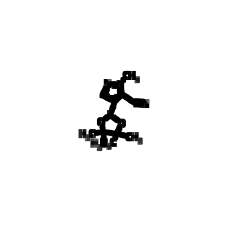 Cn1ncc(B2OC(C)(C)C(C)(C)O2)c1C#N